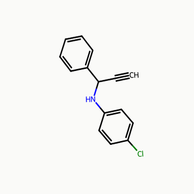 C#CC(Nc1ccc(Cl)cc1)c1ccccc1